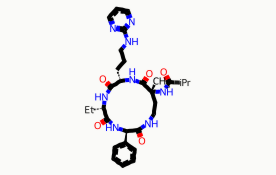 CC[C@@H]1NC(=O)[C@H](CCCNc2ncccn2)NC(=O)[C@](C)(NC(=O)C(C)C)CCNC(=O)[C@@H](c2ccccc2)NC1=O